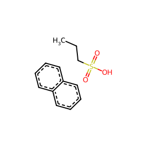 CCCS(=O)(=O)O.c1ccc2ccccc2c1